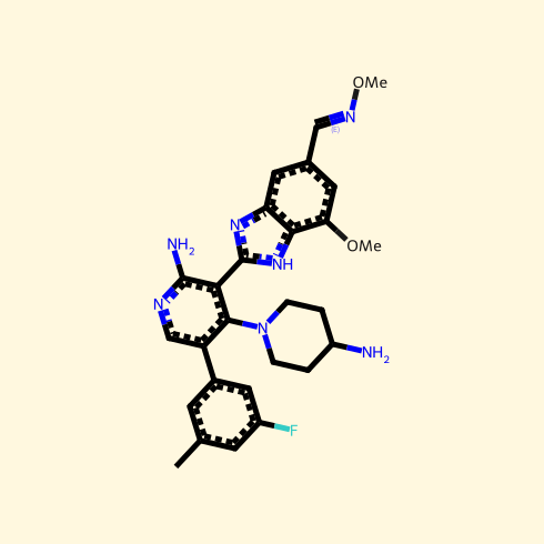 CO/N=C/c1cc(OC)c2[nH]c(-c3c(N)ncc(-c4cc(C)cc(F)c4)c3N3CCC(N)CC3)nc2c1